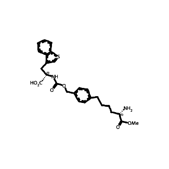 COC(=O)[C@@H](N)CCCCc1ccc(COC(=O)N[C@@H](Cc2csc3ccccc23)C(=O)O)cc1